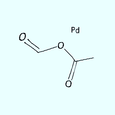 CC(=O)OC=O.[Pd]